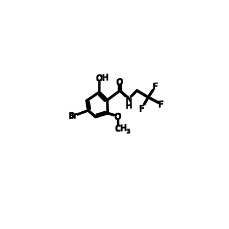 COc1cc(Br)cc(O)c1C(=O)NCC(F)(F)F